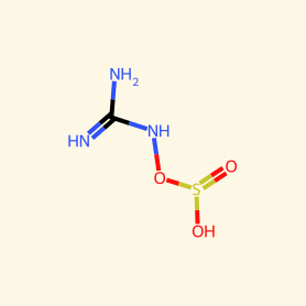 N=C(N)NOS(=O)O